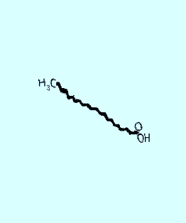 CCC=CCCC=CCC=CCCC=CCCC=CCCC(=O)O